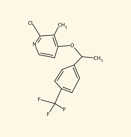 Cc1c(OC(C)c2ccc(C(F)(F)F)cc2)ccnc1Cl